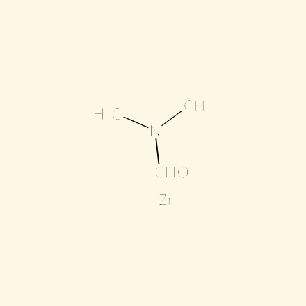 CN(C)C=O.[Zr]